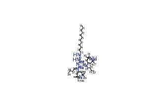 CCCCCCCCCCCCNCNc1nc(N(CCCC)C2CC(C)(C)NC(C)(C)C2)nc(N(CCCC)C2CC(C)(C)N(C)C(C)(C)C2)n1